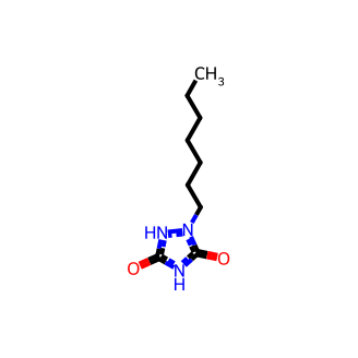 CCCCCCCn1[nH]c(=O)[nH]c1=O